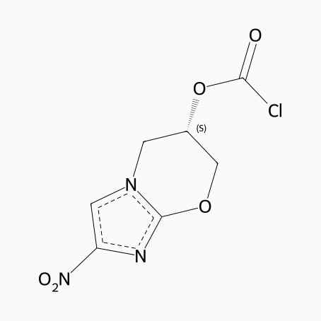 O=C(Cl)O[C@@H]1COc2nc([N+](=O)[O-])cn2C1